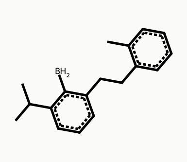 Bc1c(CCc2ccccc2C)cccc1C(C)C